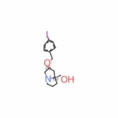 OC[C@@]12CCCN1C[C@@H](OCc1ccc(I)cc1)C2